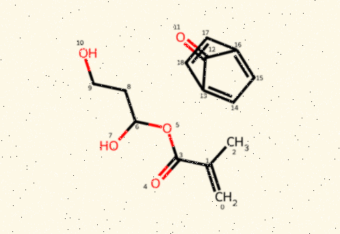 C=C(C)C(=O)OC(O)CCO.O=C1C2=CC=C1C=C2